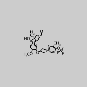 COc1ccc([C@@H]2CN(C=O)C[C@@]2(C)[C@@H](C)O)cc1OC1CN(c2ccc(OC(F)(F)F)c(C)n2)C1